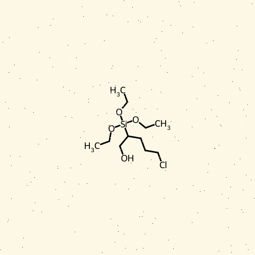 CCO[Si](OCC)(OCC)C(CO)CCCCl